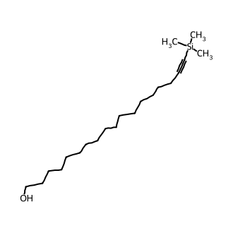 C[Si](C)(C)C#CCCCCCCCCCCCCCCCCO